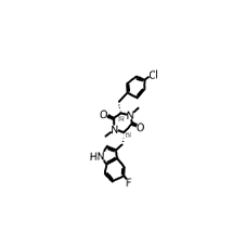 CN1C(=O)[C@H](Cc2c[nH]c3ccc(F)cc23)N(C)C(=O)[C@@H]1Cc1ccc(Cl)cc1